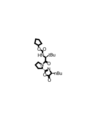 CCCC[C@@H]1N=C([C@@H]2CCCN2C(=O)[C@@H](NC(=O)OC2CCCC2)C(C)(C)C)OC1=O